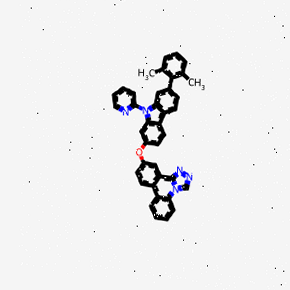 Cc1cccc(C)c1-c1ccc2c3ccc(Oc4ccc5c6ccccc6n6cnnc6c5c4)cc3n(-c3ccccn3)c2c1